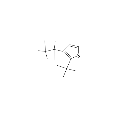 CC(C)(C)c1sccc1C(C)(C)C(C)(C)C